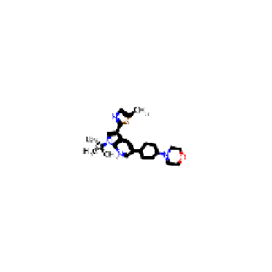 Cc1cnc(-c2cn([Si](C)(C)C(C)(C)C)c3ncc(C4CCC(N5CCOCC5)CC4)cc23)s1